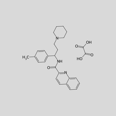 Cc1ccc(C(CCN2CCCCC2)NC(=O)c2ccc3ccccc3n2)cc1.O=C(O)C(=O)O